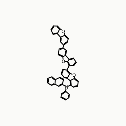 c1ccc(N(c2ccc3ccccc3c2)c2cccc3oc4c(-c5cccc6c5oc5ccc(-c7ccc8oc9ccccc9c8c7)cc56)cccc4c23)cc1